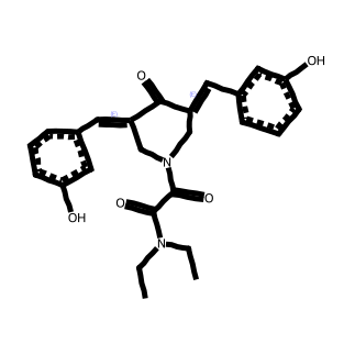 CCN(CC)C(=O)C(=O)N1C/C(=C\c2cccc(O)c2)C(=O)/C(=C/c2cccc(O)c2)C1